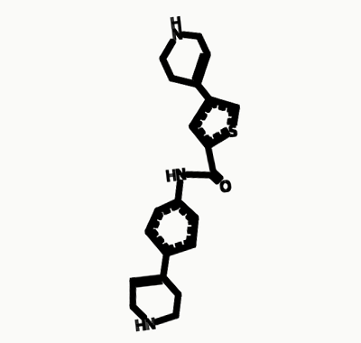 O=C(Nc1ccc(C2=CCNCC2)cc1)c1cc(C2=CCNCC2)cs1